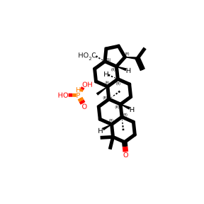 C=C(C)[C@@H]1CC[C@]2(C(=O)O)CC[C@]3(C)[C@H](CC[C@@H]4[C@@]5(C)CCC(=O)C(C)(C)[C@@H]5CC[C@]43C)[C@@H]12.O=[PH](O)O